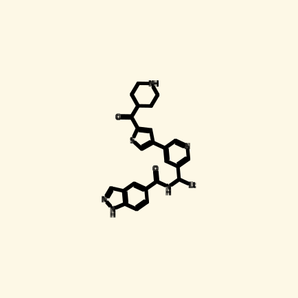 CCC(NC(=O)c1ccc2[nH]ncc2c1)c1cncc(-c2csc(C(=O)C3CCNCC3)c2)c1